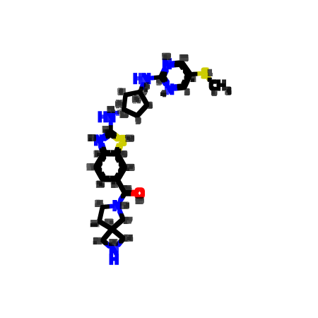 CSc1cnc(N[C@H]2CC[C@H](Nc3nc4ccc(C(=O)N5CCC6(CNC6)C5)cc4s3)C2)nc1